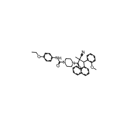 CCOc1ccc(NC(=O)N2CCN(C(=O)C(C)(C#N)C(c3ccccc3OC)c3cccc4ccccc34)CC2)cc1